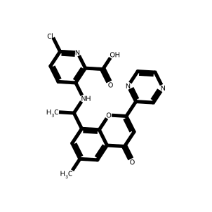 Cc1cc(C(C)Nc2ccc(Cl)nc2C(=O)O)c2oc(-c3cnccn3)cc(=O)c2c1